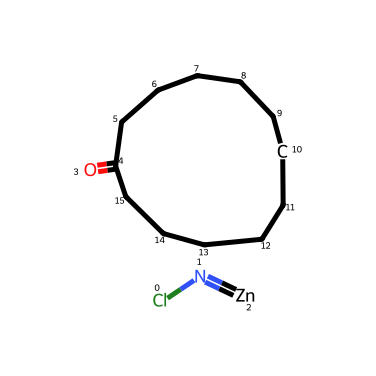 Cl[N]=[Zn].O=C1CCCCCCCCCCC1